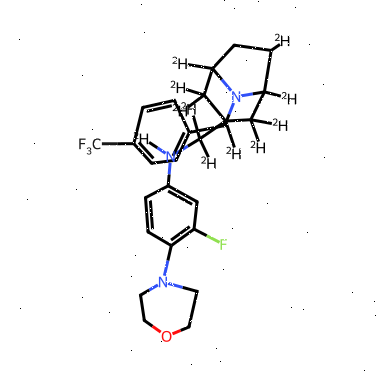 [2H]C1CC2([2H])N(Cc3ccc(C(F)(F)F)cc3)C1([2H])C([2H])([2H])C([2H])(C([2H])([2H])N([2H])c1ccc(N3CCOCC3)c(F)c1)C2([2H])[2H]